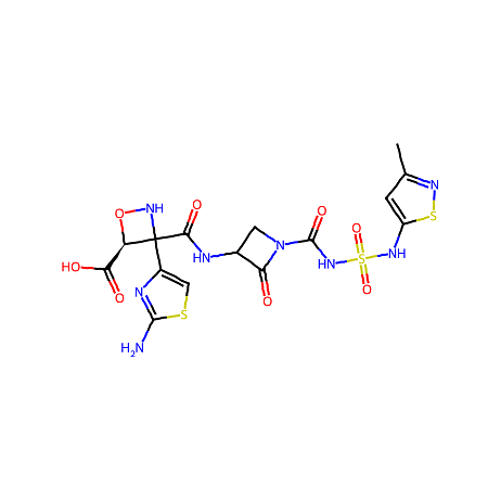 Cc1cc(NS(=O)(=O)NC(=O)N2CC(NC(=O)C3(c4csc(N)n4)NO[C@@H]3C(=O)O)C2=O)sn1